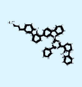 CCCCc1ccc2sc3c(-c4ccc5c6ccccc6n(-c6nc(-c7ccccc7)nc(-c7cccc8c7sc7ccccc78)n6)c5c4)cccc3c2c1